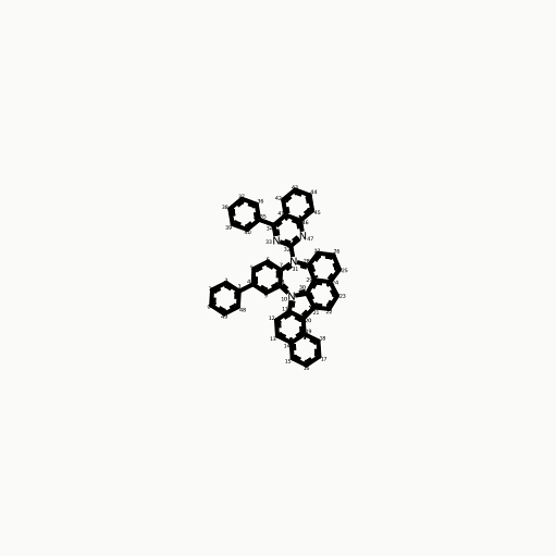 c1ccc(-c2ccc3c(c2)n2c4ccc5ccccc5c4c4ccc5cccc(c5c42)n3-c2nc(-c3ccccc3)c3ccccc3n2)cc1